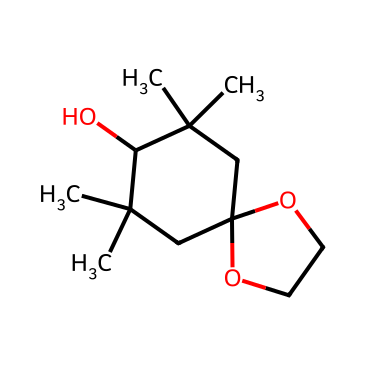 CC1(C)CC2(CC(C)(C)C1O)OCCO2